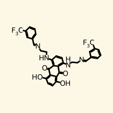 O=C1c2c(O)ccc(O)c2C(=O)c2c(NCCN=Cc3cccc(C(F)(F)F)c3)ccc(NCCN=Cc3cccc(C(F)(F)F)c3)c21